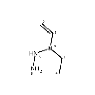 C=CN(CC)NN